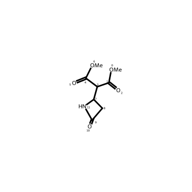 COC(=O)C(C(=O)OC)C1CC(=O)N1